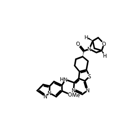 COc1cn2nccc2cc1Nc1ncnc2sc3c(c12)CC[C@H](C(=O)N1C[C@@H]2C[C@H]1CO2)C3